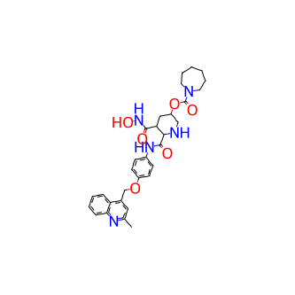 Cc1cc(COc2ccc(NC(=O)C3NCC(OC(=O)N4CCCCCC4)CC3C(=O)NO)cc2)c2ccccc2n1